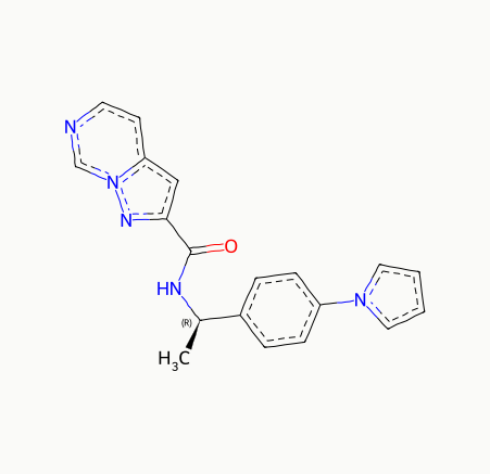 C[C@@H](NC(=O)c1cc2ccncn2n1)c1ccc(-n2cccc2)cc1